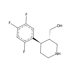 OC[C@@H]1CNCC[C@H]1c1cc(F)c(F)cc1F